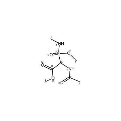 CNP(=O)(OC)C(NC(C)=O)C(=O)OC